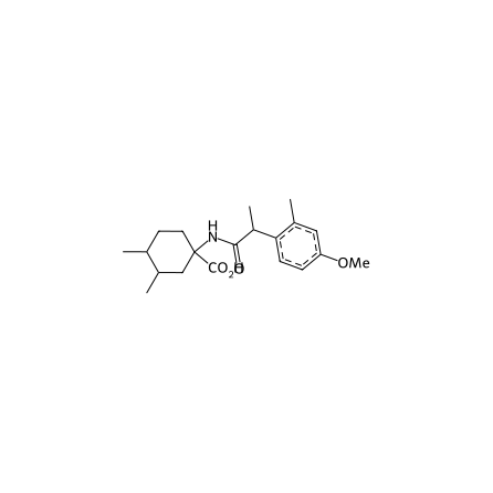 COc1ccc(C(C)C(=O)NC2(C(=O)O)CCC(C)C(C)C2)c(C)c1